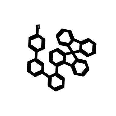 Clc1ccc(-c2cccc(-c3ccccc3-c3cccc4c3-c3ccccc3C43c4ccccc4-c4ccccc43)c2)cc1